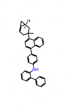 CC1(c2ccc(-c3ccc(Nc4ccccc4-c4ccccc4)cc3)c3ccccc23)CC=C2C[C@@H]2C1